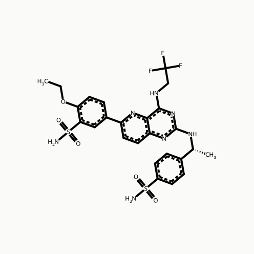 CCOc1ccc(-c2ccc3nc(N[C@H](C)c4ccc(S(N)(=O)=O)cc4)nc(NCC(F)(F)F)c3n2)cc1S(N)(=O)=O